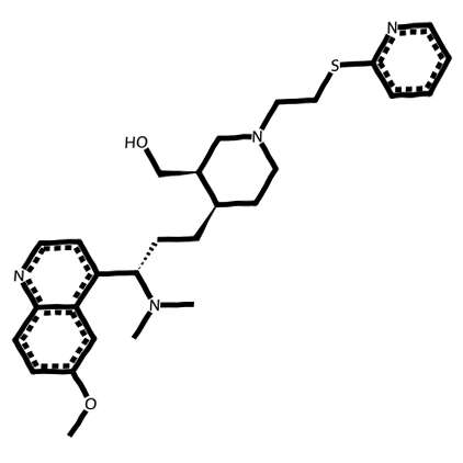 COc1ccc2nccc([C@H](CC[C@@H]3CCN(CCSc4ccccn4)C[C@@H]3CO)N(C)C)c2c1